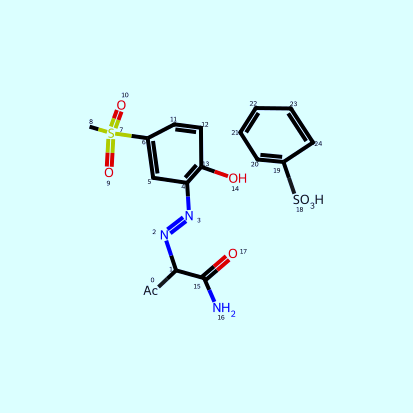 CC(=O)C(N=Nc1cc(S(C)(=O)=O)ccc1O)C(N)=O.O=S(=O)(O)c1ccccc1